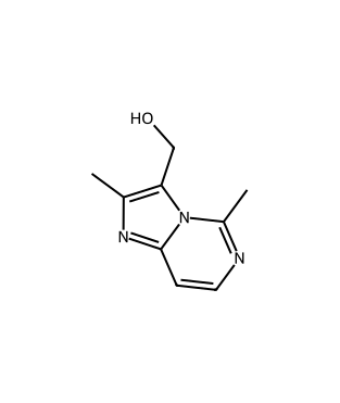 Cc1nc2ccnc(C)n2c1CO